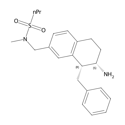 CCCS(=O)(=O)N(C)Cc1ccc2c(c1)[C@@H](Cc1ccccc1)[C@@H](N)CC2